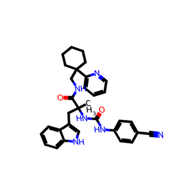 CC(Cc1c[nH]c2ccccc12)(NC(=O)Nc1ccc(C#N)cc1)C(=O)NCC1(c2ccccn2)CCCCC1